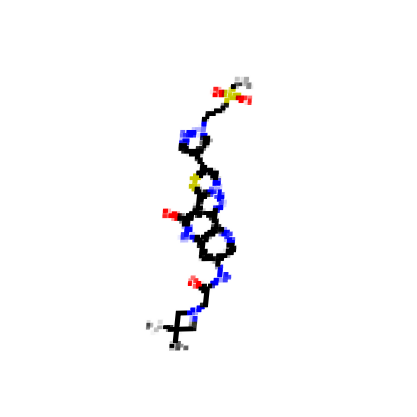 CC1(C)CN(CC(=O)Nc2cnc3c(c2)[nH]c(=O)c2c3nn3cc(-c4cnn(CCS(C)(=O)=O)c4)sc23)C1